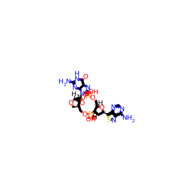 NC1=NC2C(N=CN2[C@@H]2O[C@@]34CO[C@@H]2[C@@H]3OP(=O)(O)OC[C@H]2O[C@@H](c3snc5c(N)ncnc35)C[C@@H]2P(=O)(O)OC4)C(=O)N1